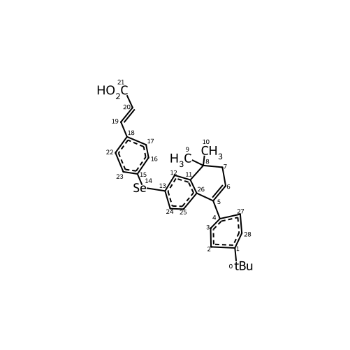 CC(C)(C)c1ccc(C2=CCC(C)(C)c3cc([Se]c4ccc(C=CC(=O)O)cc4)ccc32)cc1